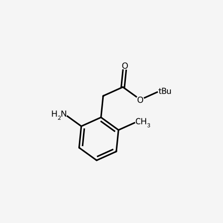 Cc1cccc(N)c1CC(=O)OC(C)(C)C